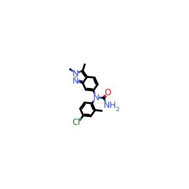 Cc1cc(Cl)ccc1N(C(N)=O)c1ccc2c(C)n(C)nc2c1